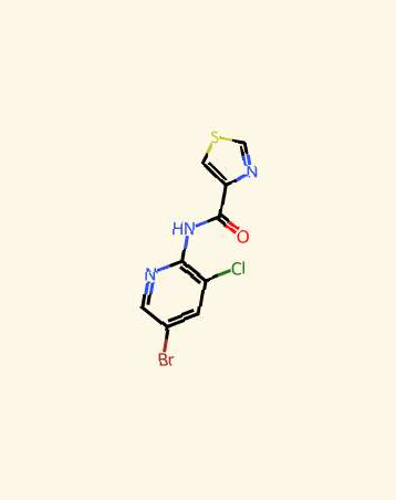 O=C(Nc1ncc(Br)cc1Cl)c1cscn1